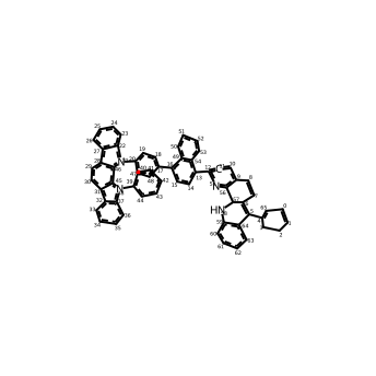 C1=CCCC(C2=C3C=Cc4ccc(-c5ccc(-c6ccc(-n7c8ccccc8c8ccc9c%10ccccc%10n(-c%10ccccc%10)c9c87)cc6)c6ccccc56)nc4C3Nc3ccccc32)=C1